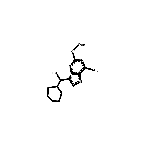 CCCC(C)Oc1nc(N)c2ncc(C(O)C3CCCCC3)n2n1